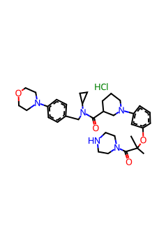 CC(C)(Oc1cccc(N2CCCC(C(=O)N(Cc3ccc(N4CCOCC4)cc3)C3CC3)C2)c1)C(=O)N1CCNCC1.Cl